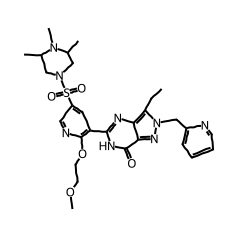 CCc1c2nc(-c3cc(S(=O)(=O)N4CC(C)N(C)C(C)C4)cnc3OCCOC)[nH]c(=O)c2nn1Cc1ccccn1